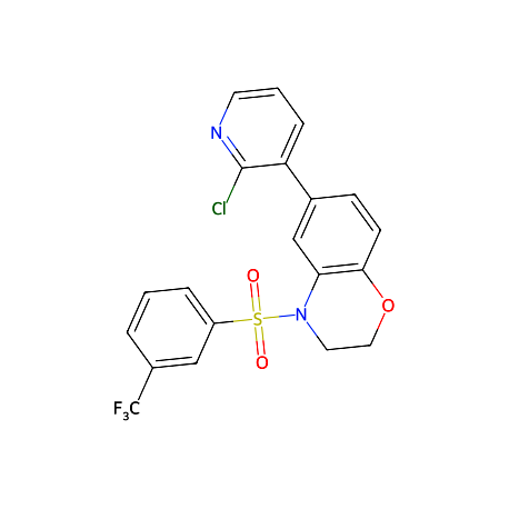 O=S(=O)(c1cccc(C(F)(F)F)c1)N1CCOc2ccc(-c3cccnc3Cl)cc21